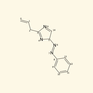 C=CCC1=NC(N=Nc2ccccc2)C=N1